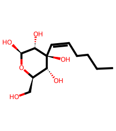 CCCC/C=C\[C@]1(O)[C@H](O)[C@@H](CO)O[C@@H](O)[C@@H]1O